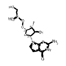 Nc1nc2c(ccn2[C@@H]2O[C@H](OOP(O)CO)[C@H](F)C2O)c(=O)[nH]1